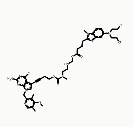 COc1c(C)cnc(Cn2cc(C#CCCOC(=O)N(C)CCNCOC(=O)CCCc3nc4cc(N(CCCl)CCCl)ccc4n3C)c3c(Cl)nc(N)nc32)c1C